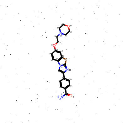 NC(=O)c1ccc(-c2cn3c(n2)sc2cc(OCCN4CCOCC4)ccc23)cc1